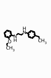 CCOc1ccccc1NCCNc1ccc(CC)cc1